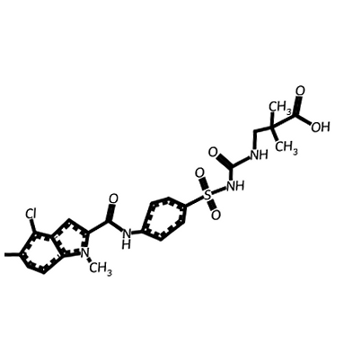 Cn1c(C(=O)Nc2ccc(S(=O)(=O)NC(=O)NCC(C)(C)C(=O)O)cc2)cc2c(Cl)c(Cl)ccc21